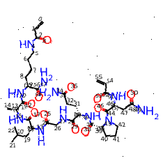 C=CC(=O)NCCCC[C@H](NC(=O)[C@H](C)NC(=O)[C@H](CC(C)C)NC(=O)CNC(=O)[C@H](CCC(N)=O)NC(=O)[C@H]1CCCN1C(=O)[C@H](CC(N)=O)NC(=O)C=C)C(N)=O